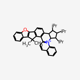 CC(C)C1C2c3ccc4c(c3-c3ccc5ccccc5[n+]3C2C(C(C)C)C1C(C)C)C(C)(C)c1c-4oc2ccccc12